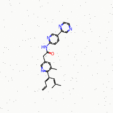 C=C/C=C(\C=C(C)C)c1ncc(CC(=O)Nc2ccc(-c3cnccn3)cn2)cc1C